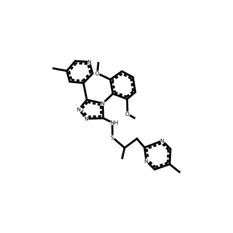 COc1cccc(OC)c1-n1c(NSC(C)Cc2ncc(C)cn2)nnc1-c1cncc(C)c1